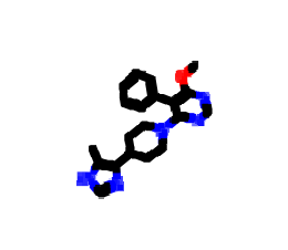 COc1ncnc(N2CCC(c3nc[nH]c3C)CC2)c1-c1ccccc1